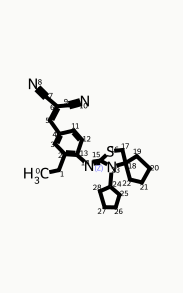 CCc1cc(C=C(C#N)C#N)ccc1/N=C1\SCC2(CCCC2)N1C1CCCC1